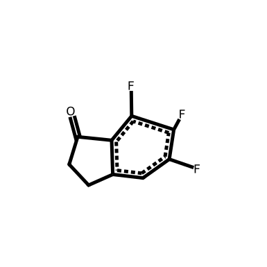 O=C1CCc2cc(F)c(F)c(F)c21